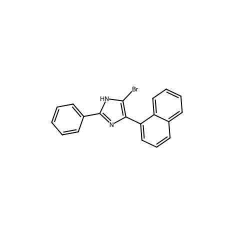 Brc1[nH]c(-c2ccccc2)nc1-c1cccc2ccccc12